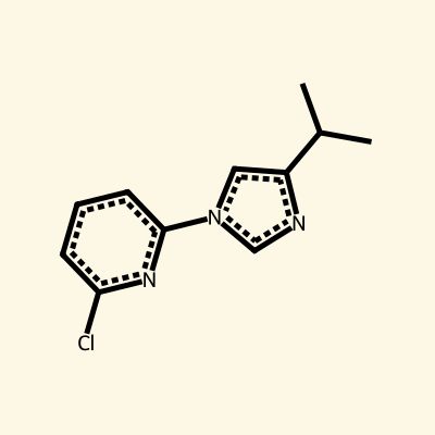 CC(C)c1cn(-c2cccc(Cl)n2)cn1